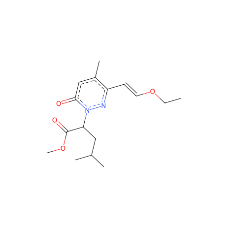 CCOC=Cc1nn(C(CC(C)C)C(=O)OC)c(=O)cc1C